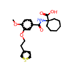 COc1ccc(C(=O)NC2(C(=O)O)CCCCCC2)cc1OCCc1ccsc1